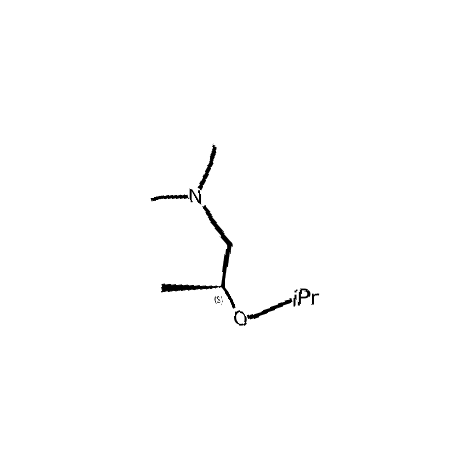 CC(C)O[C@@H](C)CN(C)C